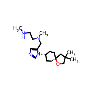 CNCCN(C)Cc1cncn1[C@H]1CC[C@]2(CC1)CC(C)(C)CO2